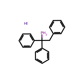 I.PC(Cc1ccccc1)(c1ccccc1)c1ccccc1